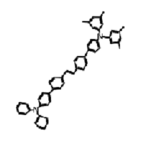 Cc1cc(C)cc(N(c2ccc(-c3ccc(/C=C/c4ccc(-c5ccc(N(c6ccccc6)c6ccccc6)cc5)cc4)cc3)cc2)c2cc(C)cc(C)c2)c1